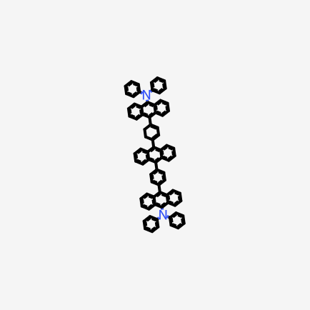 C1=C(c2c3ccccc3c(-c3ccc(-c4c5ccccc5c(N(c5ccccc5)c5ccccc5)c5ccccc45)cc3)c3ccccc23)CCC(c2c3ccccc3c(N(c3ccccc3)c3ccccc3)c3ccccc23)=C1